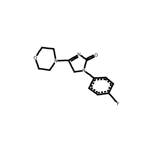 O=C1N=C(N2CCOCC2)CN1c1ccc(F)cc1